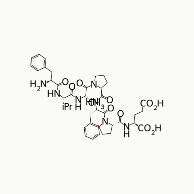 CC(C)[C@H](NC(=O)[C@@H](N)Cc1ccccc1)C(=O)N[C@@H](C)C(=O)N1CCC[C@H]1C(=O)N[C@@H](Cc1ccccc1)C(=O)N1CCC[C@H]1C(=O)N[C@@H](CCC(=O)O)C(=O)O